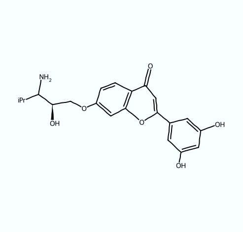 CC(C)C(N)[C@H](O)COc1ccc2c(=O)cc(-c3cc(O)cc(O)c3)oc2c1